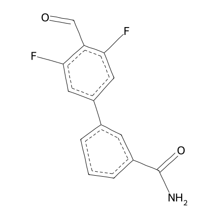 NC(=O)c1cccc(-c2cc(F)c(C=O)c(F)c2)c1